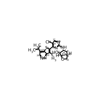 Cc1c(-c2nc(N[C@@H]3C[C@H]4CO[C@H](O4)[C@H]3O)ncc2Cl)sc2c(C(C)C)cnnc12